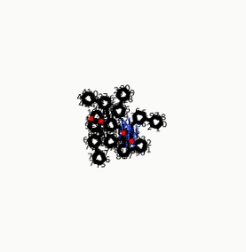 c1ccc(-c2cccc(-c3nc(-c4cc([Si](c5ccccc5)(c5cccc(-c6ccccc6)c5)c5cccc(-c6ccccc6)c5)cc([Si](c5ccccc5)(c5cccc(-c6ccccc6)c5)c5cccc(-c6ccccc6)c5)c4)nc(-n4c5ccccc5c5ccccc54)n3)c2)cc1